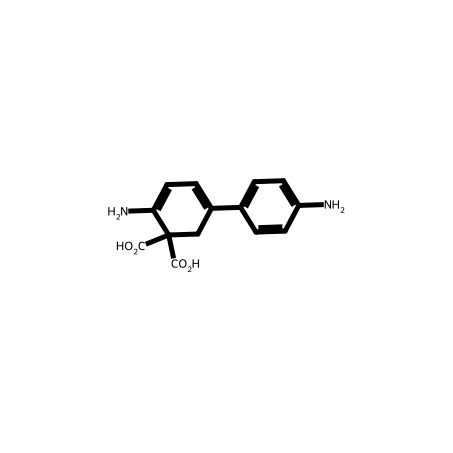 NC1=CC=C(c2ccc(N)cc2)CC1(C(=O)O)C(=O)O